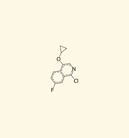 Fc1ccc2c(OC3CC3)cnc(Cl)c2c1